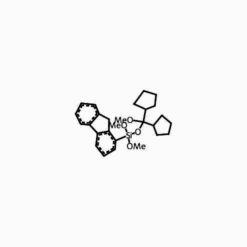 COC(O[Si](OC)(OC)c1cccc2c1Cc1ccccc1-2)(C1CCCC1)C1CCCC1